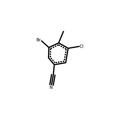 Cc1c(Cl)cc(C#N)cc1Br